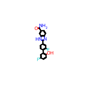 NC(=O)c1ccc2nc(-c3ccc(-c4cc(F)ccc4O)c(F)c3)[nH]c2c1